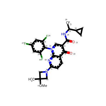 COC1(C)CN(c2ccc3c(=O)c(C(=O)NC(C4CC4)C(F)(F)F)cn(-c4c(F)cc(F)cc4F)c3n2)C1